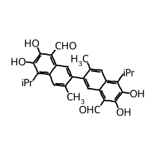 Cc1cc2c(C(C)C)c(O)c(O)c(C=O)c2cc1-c1cc2c(C=O)c(O)c(O)c(C(C)C)c2cc1C